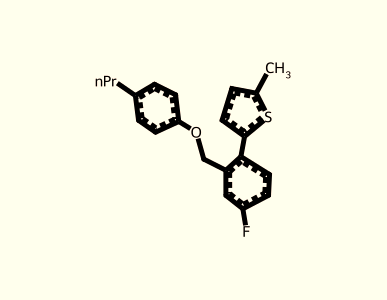 CCCc1ccc(OCc2cc(F)ccc2-c2ccc(C)s2)cc1